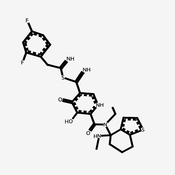 CCN(C(=O)c1[nH]cc(C(=N)SC(=N)Cc2ccc(F)cc2F)c(=O)c1O)C1(NC)CCCc2sccc21